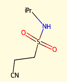 CC(C)NS(=O)(=O)CCC#N